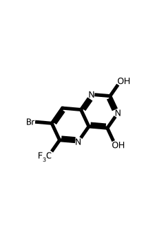 Oc1nc(O)c2nc(C(F)(F)F)c(Br)cc2n1